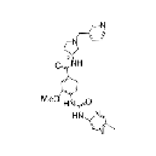 COc1cc(C(=O)N[C@H]2CCN(Cc3cccnc3)C2)ccc1NC(=O)Nc1cnc(C)cn1